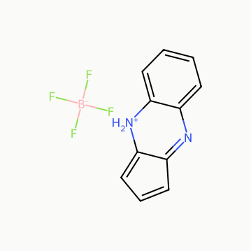 C1=CC2=Nc3ccccc3[NH2+]C2=C1.F[B-](F)(F)F